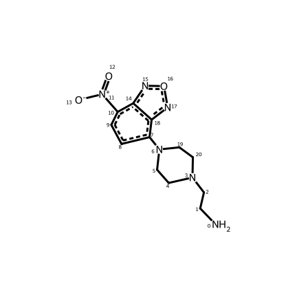 NCCN1CCN(c2ccc([N+](=O)[O-])c3nonc23)CC1